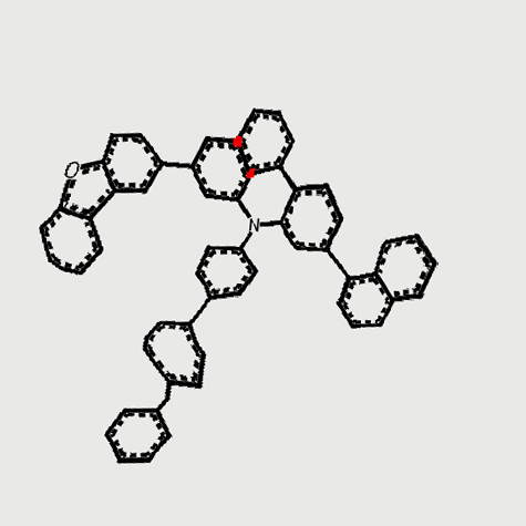 c1ccc(-c2ccc(-c3ccc(N(c4cccc(-c5ccc6oc7ccccc7c6c5)c4)c4cc(-c5cccc6ccccc56)ccc4-c4ccccc4)cc3)cc2)cc1